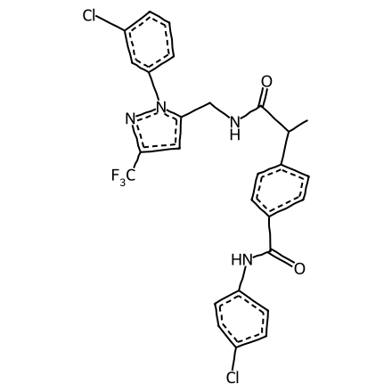 CC(C(=O)NCc1cc(C(F)(F)F)nn1-c1cccc(Cl)c1)c1ccc(C(=O)Nc2ccc(Cl)cc2)cc1